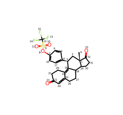 C[C@]12C[C@H](c3ccc(OS(=O)(=O)C(F)(F)F)cc3)C3=C4CCC(=O)C=C4CCC3C1CCC2=O